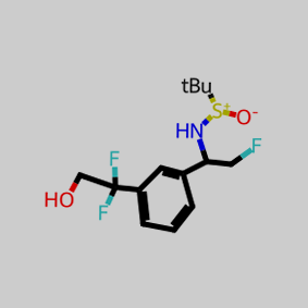 CC(C)(C)[S+]([O-])NC(CF)c1cccc(C(F)(F)CO)c1